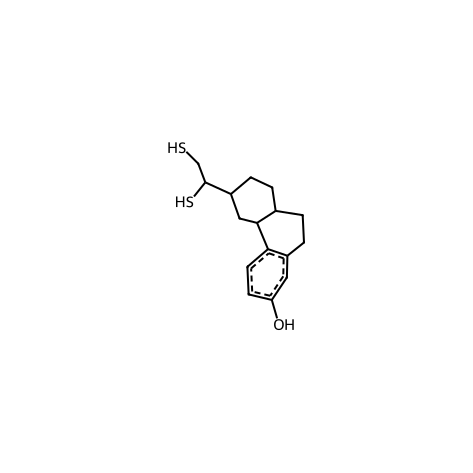 Oc1ccc2c(c1)CCC1CCC(C(S)CS)CC21